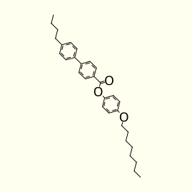 CCCCCCCCOc1ccc(OC(=O)c2ccc(-c3ccc(CCCC)cc3)cc2)cc1